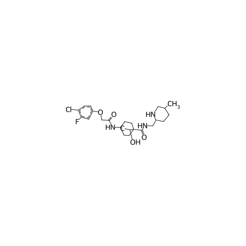 CC1CCC(CNC(=O)C23CCC(NC(=O)COc4ccc(Cl)c(F)c4)(CC2)CC3O)NC1